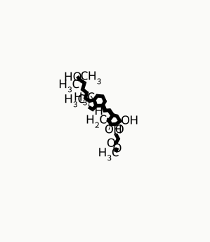 C=C1C(=CC=C2CCC[C@]3(C)[C@@H]([C@H](C)CCCC(C)(C)O)CC[C@@H]23)C[C@@H](O)[C@@H](OCCC(=O)OC)[C@@H]1O